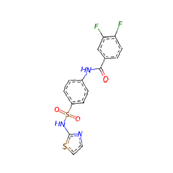 O=C(Nc1ccc(S(=O)(=O)Nc2nccs2)cc1)c1ccc(F)c(F)c1